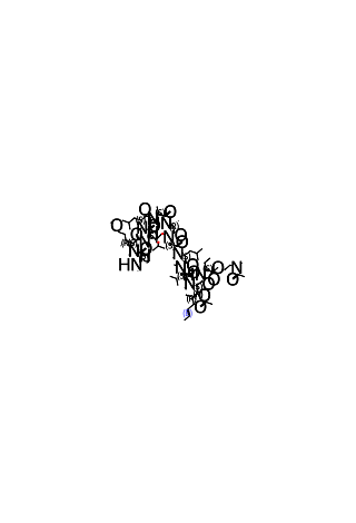 C/C=C/C[C@@H](C)[C@@H](OC(C)=O)[C@@H](C(=O)N[C@@H](CC)C(=O)OCCN(C)C(C)=O)N(C)C(=O)[C@H](C(C)C)N(C)C(=O)[C@H](CC(C)C)N(C)C(=O)[C@H](CC(C)C)N(C)C(=O)[C@@H](C)NC(=O)[C@H](C)NC(=O)[C@H](CC(C)C)N(C)C(=O)[C@@H](NC(=O)[C@H]([C@H](C)CCOC)N(C)C(=O)[C@@H](C)NC)C(C)C